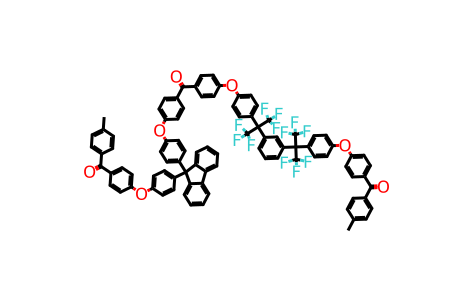 Cc1ccc(C(=O)c2ccc(Oc3ccc(C4(c5ccc(Oc6ccc(C(=O)c7ccc(Oc8ccc(C(c9cccc(C(c%10ccc(Oc%11ccc(C(=O)c%12ccc(C)cc%12)cc%11)cc%10)(C(F)(F)F)C(F)(F)F)c9)(C(F)(F)F)C(F)(F)F)cc8)cc7)cc6)cc5)c5ccccc5-c5ccccc54)cc3)cc2)cc1